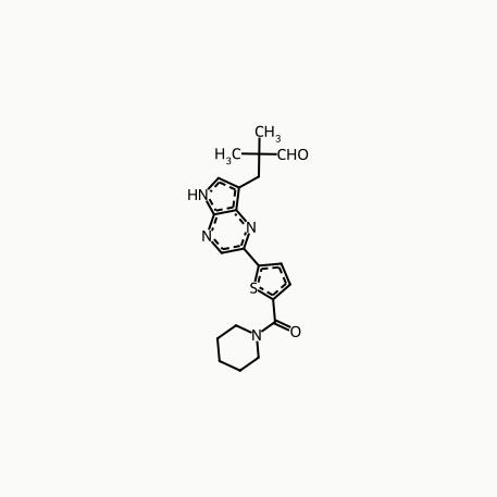 CC(C)(C=O)Cc1c[nH]c2ncc(-c3ccc(C(=O)N4CCCCC4)s3)nc12